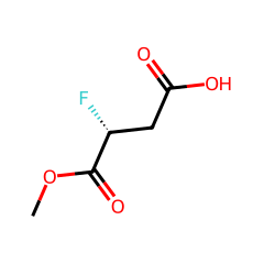 COC(=O)[C@H](F)CC(=O)O